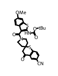 COc1ccc2c(C(=O)N3CCC4(CC3)CC(=O)c3cc(C#N)ccc3S4)c(NC(=O)OC(C)(C)C)sc2c1